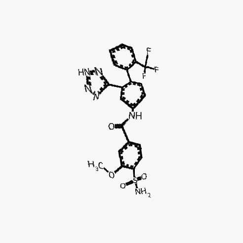 COc1cc(C(=O)Nc2ccc(-c3ccccc3C(F)(F)F)c(-c3nn[nH]n3)c2)ccc1S(N)(=O)=O